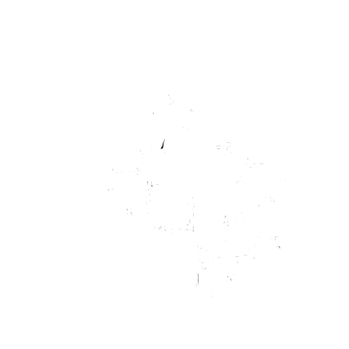 CC1(C)OC[C@H](COc2ccnc(NC(=O)N3c4nc(-c5cccc(C(F)(F)F)c5)c(Cl)cc4N4CCC3C4)n2)O1